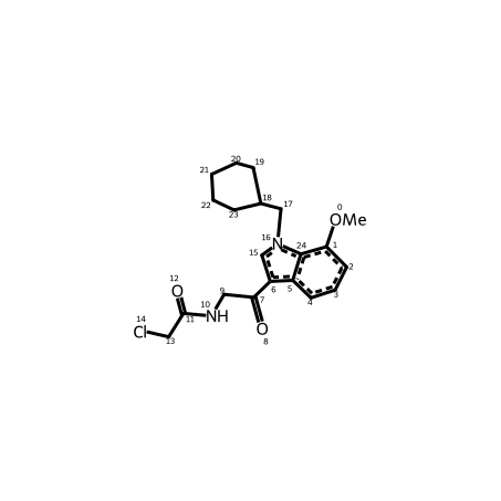 COc1cccc2c(C(=O)CNC(=O)CCl)cn(CC3CCCCC3)c12